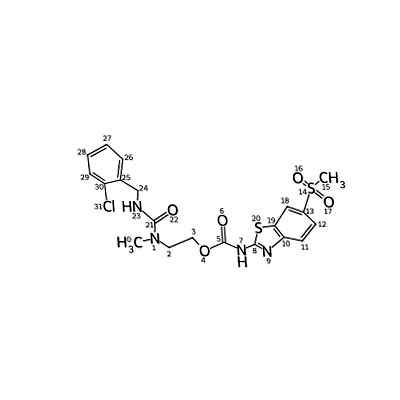 CN(CCOC(=O)Nc1nc2ccc(S(C)(=O)=O)cc2s1)C(=O)NCc1ccccc1Cl